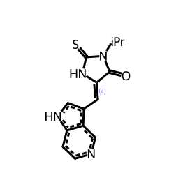 CC(C)N1C(=O)/C(=C/c2c[nH]c3ccncc23)NC1=S